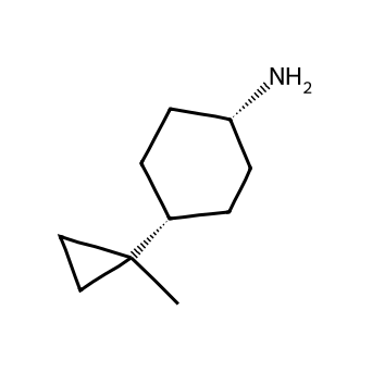 CC1([C@H]2CC[C@@H](N)CC2)CC1